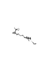 CCCCNCCCCCN(C)C(C)=O